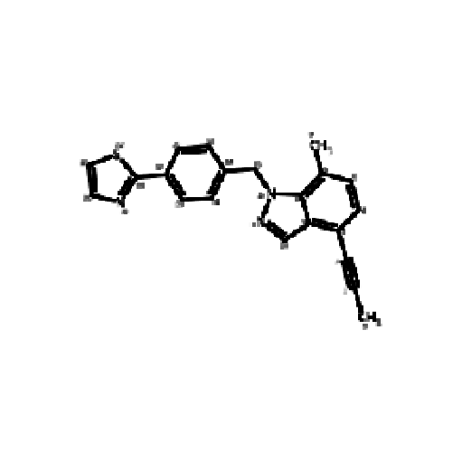 CC#Cc1ccc(C)c2c1cnn2Cc1ccc(-c2nccs2)cc1